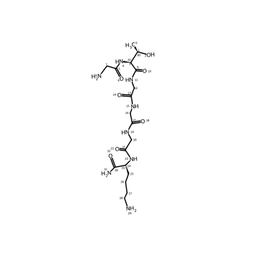 C[C@@H](O)[C@H](NC(=O)CN)C(=O)NCC(=O)NCC(=O)NCC(=O)N[C@@H](CCCCN)C(N)=O